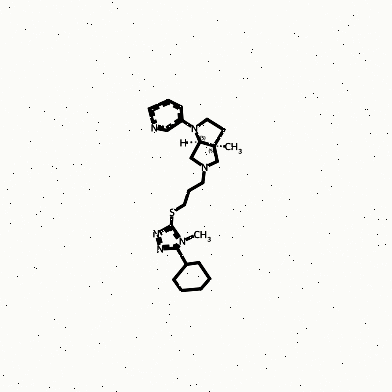 Cn1c(SCCCN2C[C@H]3N(c4cccnc4)CC[C@@]3(C)C2)nnc1C1CCCCC1